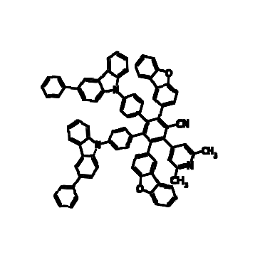 Cc1cc(-c2c(C#N)c(-c3ccc4oc5ccccc5c4c3)c(-c3ccc(-n4c5ccccc5c5cc(-c6ccccc6)ccc54)cc3)c(-c3ccc(-n4c5ccccc5c5cc(-c6ccccc6)ccc54)cc3)c2-c2ccc3oc4ccccc4c3c2)cc(C)n1